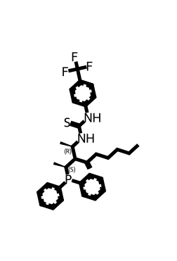 C=C(CCCCC)C([C@@H](C)NC(=S)Nc1ccc(C(F)(F)F)cc1)[C@H](C)P(c1ccccc1)c1ccccc1